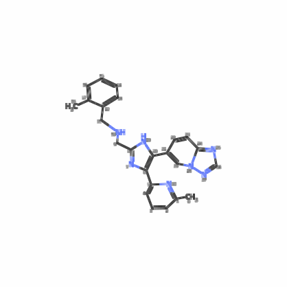 Cc1cccc(-c2nc(CNCc3ccccc3C)[nH]c2-c2ccc3ncnn3c2)n1